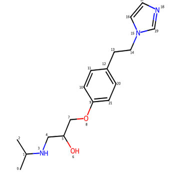 CC(C)NCC(O)COc1ccc(CCn2ccnc2)cc1